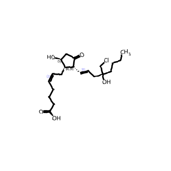 CCCCC(O)(CCl)C/C=C/[C@H]1C(=O)C[C@H](O)[C@@H]1C/C=C\CCCC(=O)O